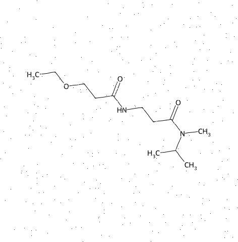 CCOCCC(=O)NCCC(=O)N(C)C(C)C